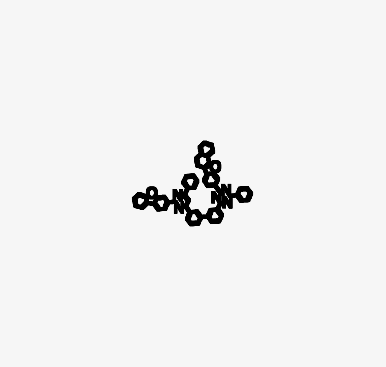 c1ccc(-c2cc(-c3cccc(-c4cccc(-c5nc(-c6ccccc6)nc(-c6ccc7c(c6)oc6c8ccccc8ccc76)n5)c4)c3)nc(-c3ccc4c(c3)oc3ccccc34)n2)cc1